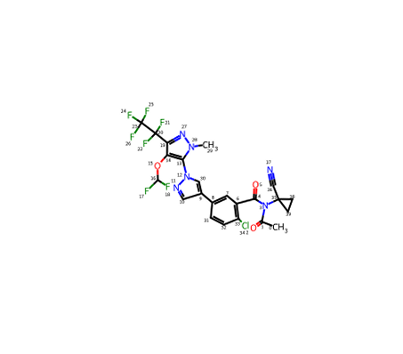 CC(=O)N(C(=O)c1cc(-c2cnn(-c3c(OC(F)F)c(C(F)(F)C(F)(F)F)nn3C)c2)ccc1Cl)C1(C#N)CC1